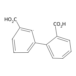 O=C(O)c1[c]c(-c2ccccc2C(=O)O)ccc1